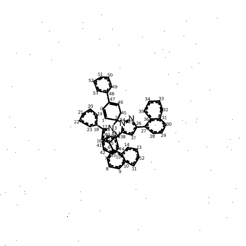 C1=CC(n2nc(-c3cccc4ccccc34)cc2-c2ccccc2)(n2nc(-c3cccc4ccccc34)cc2-c2ccccc2)CC=C1c1ccccc1